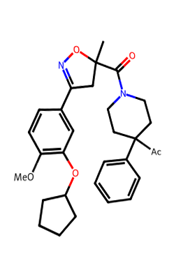 COc1ccc(C2=NOC(C)(C(=O)N3CCC(C(C)=O)(c4ccccc4)CC3)C2)cc1OC1CCCC1